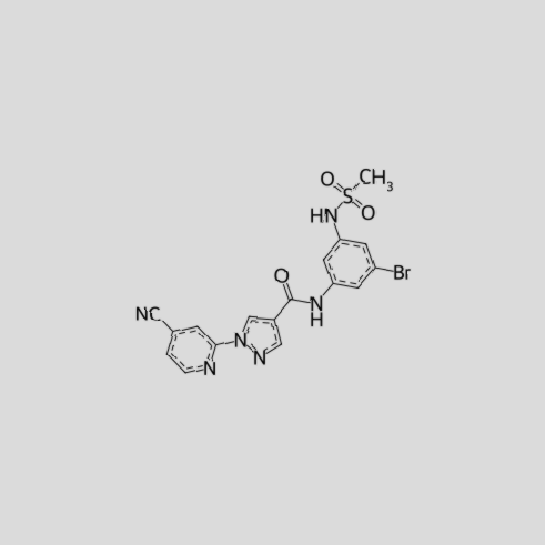 CS(=O)(=O)Nc1cc(Br)cc(NC(=O)c2cnn(-c3cc(C#N)ccn3)c2)c1